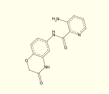 Nc1cccnc1C(=O)Nc1ccc2c(c1)NC(=O)CO2